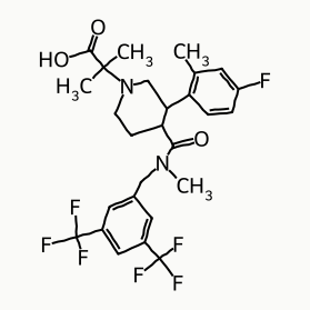 Cc1cc(F)ccc1C1CN(C(C)(C)C(=O)O)CCC1C(=O)N(C)Cc1cc(C(F)(F)F)cc(C(F)(F)F)c1